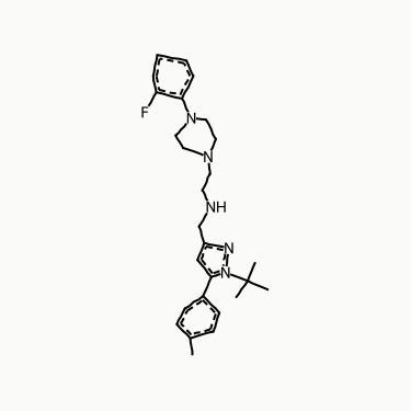 Cc1ccc(-c2cc(CNCCN3CCN(c4ccccc4F)CC3)nn2C(C)(C)C)cc1